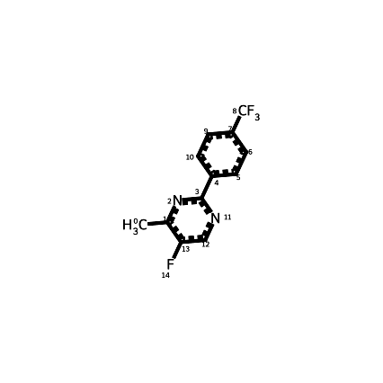 Cc1nc(-c2ccc(C(F)(F)F)cc2)ncc1F